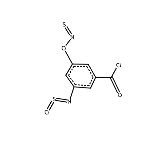 O=S=Nc1cc(ON=S)cc(C(=O)Cl)c1